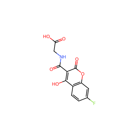 O=C(O)CNC(=O)c1c(O)c2ccc(F)cc2oc1=O